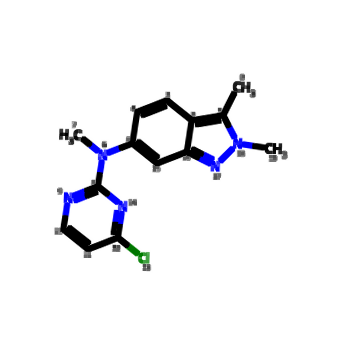 Cc1c2ccc(N(C)c3nccc(Cl)n3)cc2nn1C